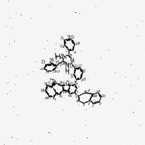 C1=CC2CC=C(c3cc(-c4cccc(C5N=C(c6ccccc6)NC(c6ccccc6)N5)c4)c4oc5cc6ccccc6cc5c4c3)CC2C=C1